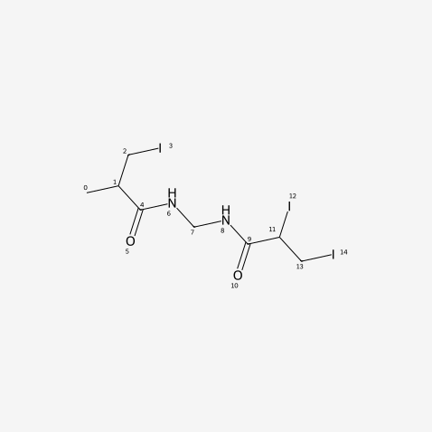 CC(CI)C(=O)NCNC(=O)C(I)CI